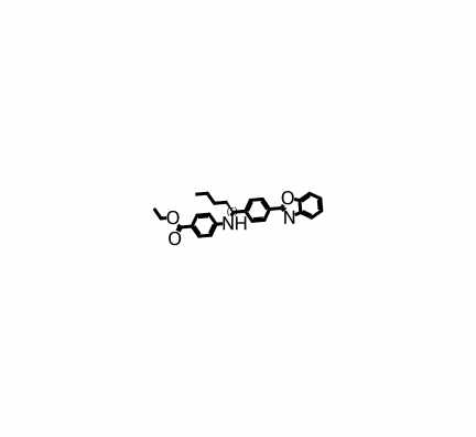 CCCC[C@H](Nc1ccc(C(=O)OCC)cc1)c1ccc(-c2nc3ccccc3o2)cc1